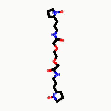 O=C(COCCOCC(=O)NCCCC1CCC[NH+]1[O-])NCCCC1CCC[NH+]1[O-]